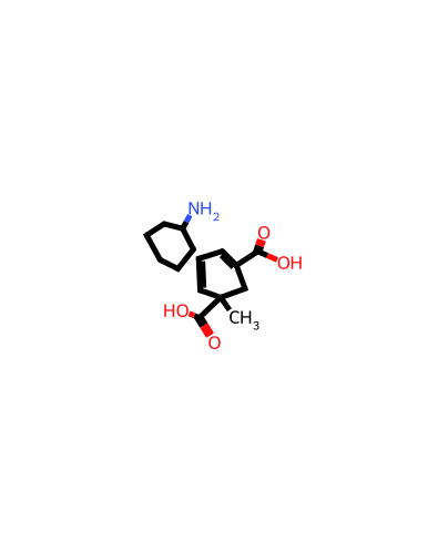 CC1(C(=O)O)C=CC=C(C(=O)O)C1.NC1CCCCC1